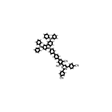 N#Cc1ccc(-c2cc(-c3c(C#N)cc(-c4ccc(-c5ccc(-n6c7ccc(N(c8ccccc8)c8ccccc8)cc7c7cc(N(c8ccccc8)c8ccccc8)ccc76)cc5)cc4)cc3C#N)nc(-c3ccc(C#N)cc3)n2)cc1